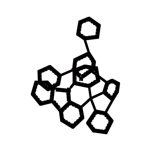 c1ccc(-c2cc(-c3ccccc3)nc(-c3cccc4c3C3(c5ccccc5-4)c4ccccc4-n4c5ccccc5c5cccc3c54)c2)cc1